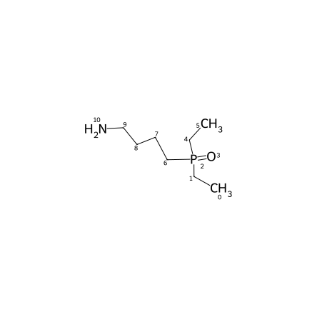 CCP(=O)(CC)CCCCN